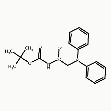 CC(C)(C)OC(=O)N[S+]([O-])CP(c1ccccc1)c1ccccc1